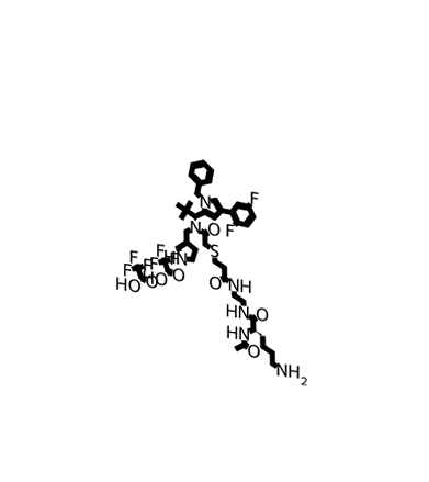 CC(=O)N[C@@H](CCCCN)C(=O)NCCNC(=O)CCSCC(=O)N(CC1CCNC1)[C@@H](c1cc(-c2cc(F)ccc2F)cn1Cc1ccccc1)C(C)(C)C.O=C(O)C(F)(F)F.O=C(O)C(F)(F)F